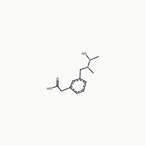 CB(O)N(C)Cc1cccc(CC(=O)O)c1